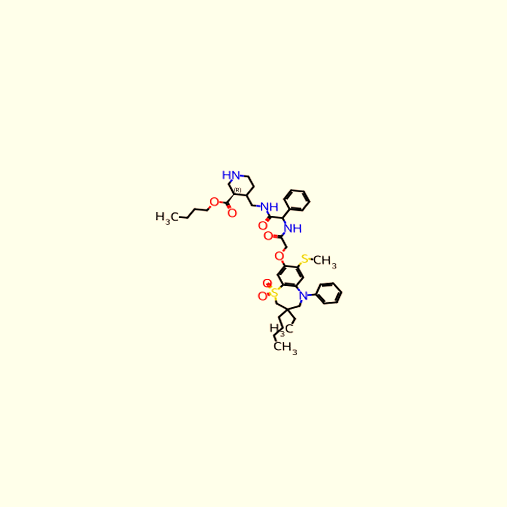 CCCCOC(=O)[C@H]1CNCCC1CNC(=O)C(NC(=O)COc1cc2c(cc1SC)N(c1ccccc1)CC(CC)(CCCC)CS2(=O)=O)c1ccccc1